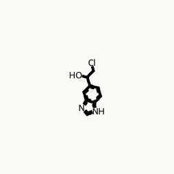 OC(CCl)c1ccc2[nH]cnc2c1